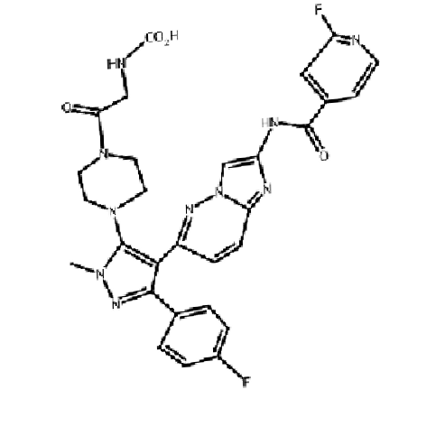 Cn1nc(-c2ccc(F)cc2)c(-c2ccc3nc(NC(=O)c4ccnc(F)c4)cn3n2)c1N1CCN(C(=O)CNC(=O)O)CC1